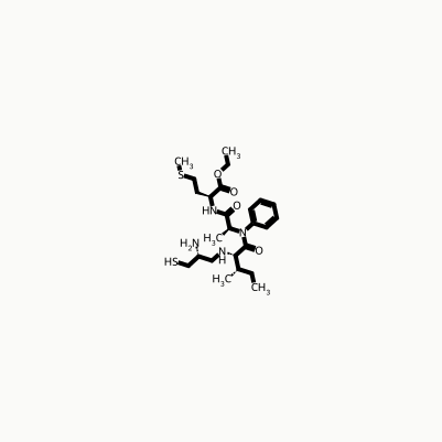 CCOC(=O)[C@H](CCSC)NC(=O)[C@H](C)N(C(=O)[C@@H](NC[C@@H](N)CS)[C@@H](C)CC)c1ccccc1